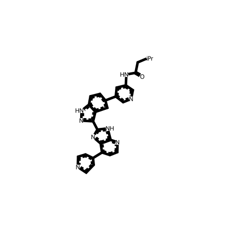 CC(C)CC(=O)Nc1cncc(-c2ccc3[nH]nc(-c4nc5c(-c6ccncc6)ccnc5[nH]4)c3c2)c1